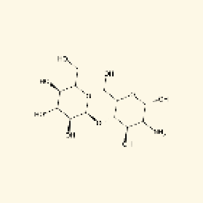 NC1[C@@H](O)[C@H](O[C@@H]2OC(CO)[C@H](O)C(O)[C@@H]2O)C(CO)O[C@@H]1O